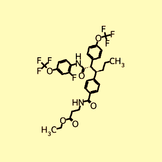 CCC[C@@H](c1ccc(C(=O)NCCC(=O)OCC)cc1)[C@H](C(=O)Nc1ccc(OC(F)(F)F)cc1F)c1ccc(OC(F)(F)F)cc1